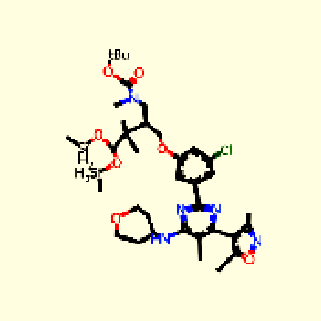 C[SiH2]OC(O[SiH2]C)C(C)(C)C(COc1cc(Cl)cc(-c2nc(NC3CCOCC3)c(C)c(-c3c(C)noc3C)n2)c1)CN(C)C(=O)OC(C)(C)C